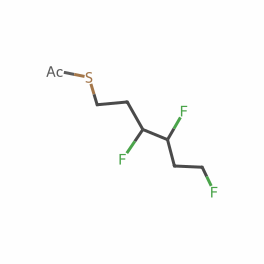 CC(=O)SCCC(F)C(F)CCF